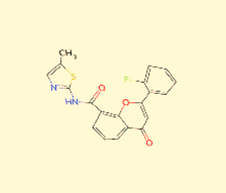 Cc1cnc(NC(=O)c2cccc3c(=O)cc(-c4ccccc4F)oc23)s1